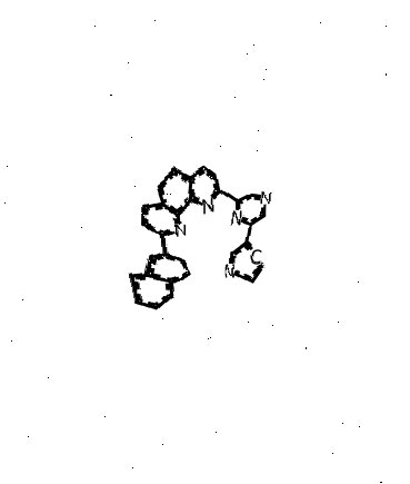 c1cncc(-c2cncc(-c3ccc4ccc5ccc(-c6ccc7ccccc7c6)nc5c4n3)n2)c1